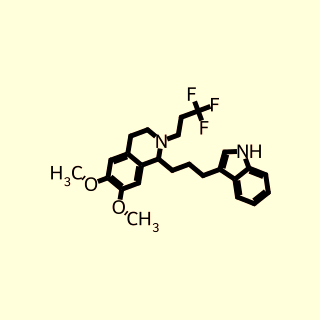 COc1cc2c(cc1OC)C(CCCc1c[nH]c3ccccc13)N(CCC(F)(F)F)CC2